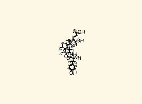 CNC(C(=O)NC(C(=O)N(C)[C@H](/C=C(\C)C(=O)N[C@H](CCC(=O)O)C(=O)O)C(C)C)C(C)(C)C)C(C)(C)c1ccc(O)cc1